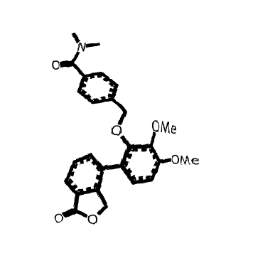 COc1ccc(-c2cccc3c2COC3=O)c(OCc2ccc(C(=O)N(C)C)cc2)c1OC